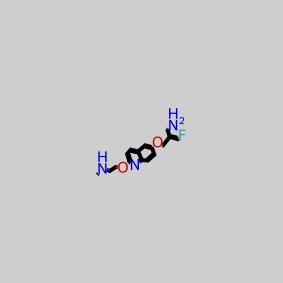 CNCCOc1ccc2cc(OC/C(=C/F)CN)ccc2n1